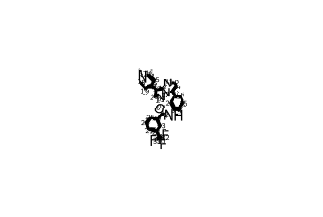 O=C(Nc1cccc(-c2ccnc3c(-c4ccncc4)cnn23)c1)c1cccc(C(F)(F)F)c1